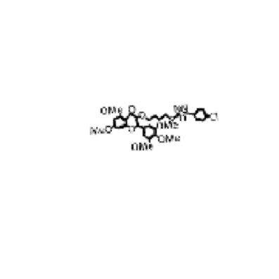 COc1cc(OC)c2c(=O)c(OCCCCSc3nnc(-c4ccc(Cl)cc4)o3)c(-c3cc(OC)c(OC)c(OC)c3)oc2c1